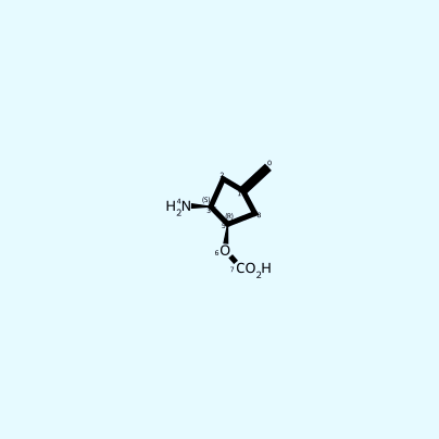 C=C1C[C@H](N)[C@H](OC(=O)O)C1